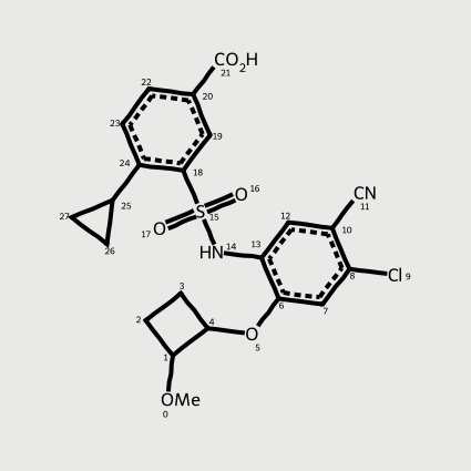 COC1CCC1Oc1cc(Cl)c(C#N)cc1NS(=O)(=O)c1cc(C(=O)O)ccc1C1CC1